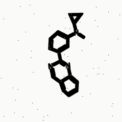 CN(c1cccc(-c2ncc3ccccc3n2)c1)C1CC1